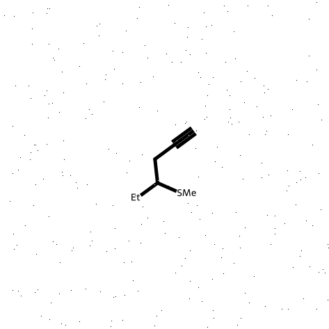 [C]#CCC(CC)SC